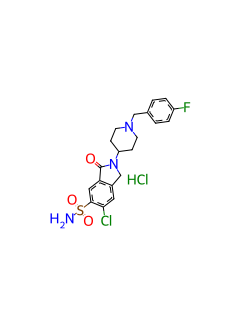 Cl.NS(=O)(=O)c1cc2c(cc1Cl)CN(C1CCN(Cc3ccc(F)cc3)CC1)C2=O